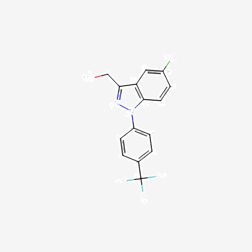 OCc1nn(-c2ccc(C(F)(F)F)cc2)c2ccc(Cl)cc12